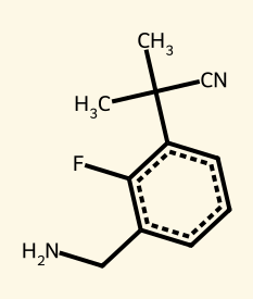 CC(C)(C#N)c1cccc(CN)c1F